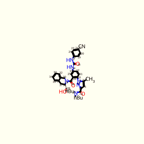 CCCCN(CCCC)C(=O)c1cc(C)n(-c2ccc(NC(=O)Nc3ccc(C#N)cc3)cc2C(=O)N2Cc3ccccc3C[C@H]2CO)n1